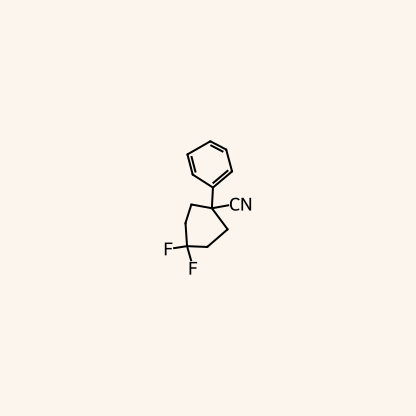 N#CC1(c2ccccc2)CCC(F)(F)CC1